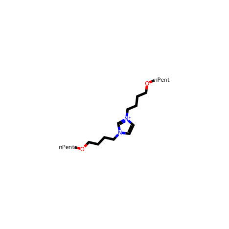 CCCCCOCCCCn1cc[n+](CCCCOCCCCC)c1